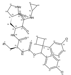 CC(C)C[C@H](NC(=O)OC(c1ccc(Cl)cc1)C1(c2cccc(Cl)c2)CCC1)C(=O)N[C@@H](C[C@@H]1CCNC1=O)C(=O)C(=O)NC1CC1